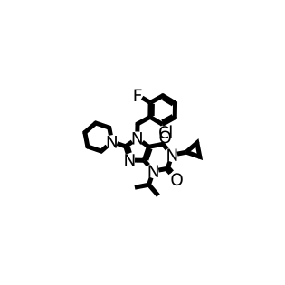 CC(C)n1c(=O)n(C2CC2)c(=O)c2c1nc(N1CCCCC1)n2Cc1c(F)cccc1Cl